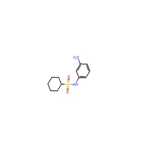 Nc1cccc(NS(=O)(=O)C2CCCCC2)c1